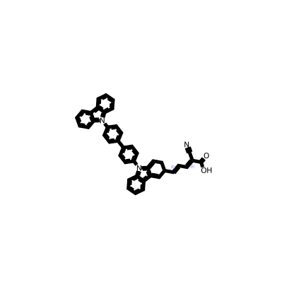 N#C/C(=C\C=C\C1C=c2c(n(-c3ccc(-c4ccc(-n5c6ccccc6c6ccccc65)cc4)cc3)c3ccccc23)=CC1)C(=O)O